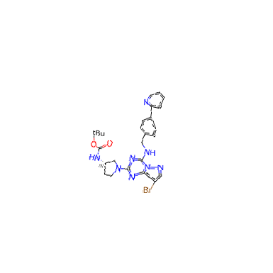 CC(C)(C)OC(=O)N[C@H]1CCN(c2nc(NCc3ccc(-c4ccccn4)cc3)n3ncc(Br)c3n2)C1